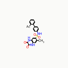 CC(=O)c1ccccc1-c1ccc(NS(=O)(=O)c2cc3[nH]c(=O)c(=O)[nH]c3cc2C)cc1